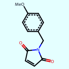 COc1ccc(CN2C(=O)C=CC2=O)cc1